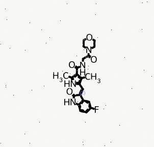 Cc1[nH]c(/C=C2\C(=O)Nc3ccc(F)cc32)c(C)c1C(=O)NCC(=O)N1CCOCC1